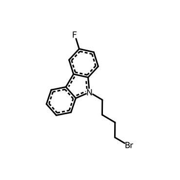 Fc1ccc2c(c1)c1ccccc1n2CCCCBr